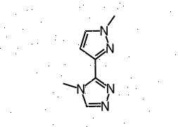 Cn1ccc(-c2nncn2C)n1